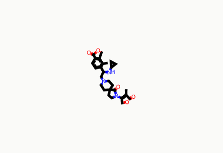 CC1=C(N2CCC3(CCN(CC(NC4CC4)c4ccc5c(c4C)COC5=O)CC3)C2=O)COC1=O